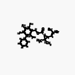 CC1(C)[C@H](C=C(Br)Br)[C@H]1C(=O)OCc1c(F)c(F)c(F)c(-c2ccccc2)c1F